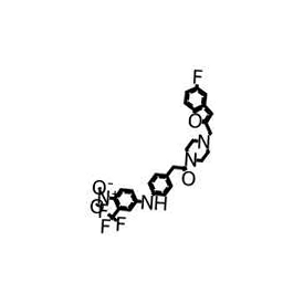 O=C(Cc1ccc(Nc2ccc([N+](=O)[O-])c(C(F)(F)F)c2)cc1)N1CCN(Cc2cc3cc(F)ccc3o2)CC1